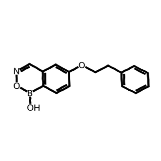 OB1ON=Cc2cc(OCCc3ccccc3)ccc21